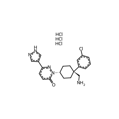 Cl.Cl.Cl.NC[C@]1(c2cccc(Cl)c2)CC[C@@H](n2nc(-c3cn[nH]c3)ccc2=O)CC1